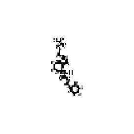 CS(=O)(=O)OCCn1ncc2c1CCCC2NC(=O)OCc1ccccc1